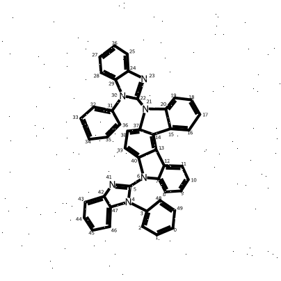 c1ccc(-n2c(-n3c4ccccc4c4c5c6ccccc6n(-c6nc7ccccc7n6-c6ccccc6)c5ccc43)nc3ccccc32)cc1